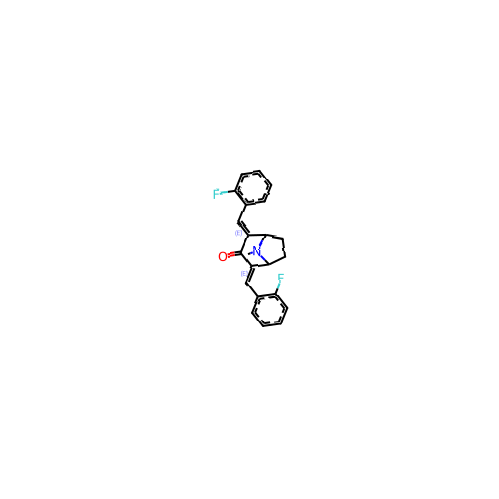 CN1C2CCC1/C(=C\c1ccccc1F)C(=O)/C2=C/c1ccccc1F